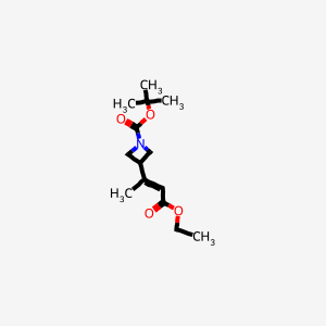 CCOC(=O)C=C(C)C1CN(C(=O)OC(C)(C)C)C1